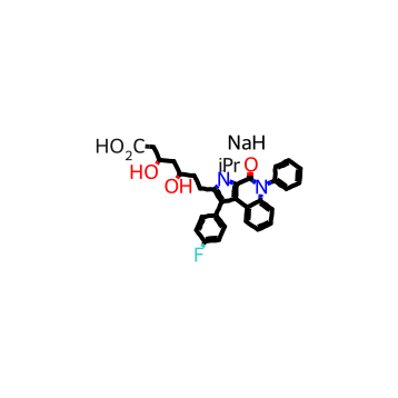 CC(C)n1c(CCC(O)CC(O)CC(=O)O)c(-c2ccc(F)cc2)c2c3ccccc3n(-c3ccccc3)c(=O)c21.[NaH]